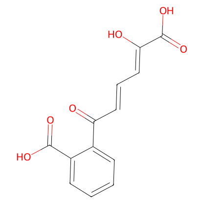 O=C(O)C(O)=CC=CC(=O)c1ccccc1C(=O)O